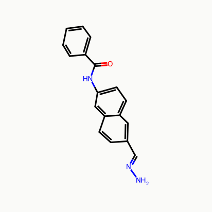 NN=Cc1ccc2cc(NC(=O)c3ccccc3)ccc2c1